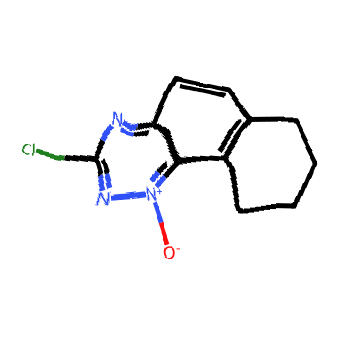 [O-][n+]1nc(Cl)nc2ccc3c(c21)CCCC3